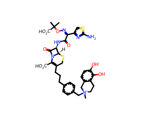 CC(C)(O/N=C(\C(=O)N[C@@H]1C(=O)N2C(C(=O)O)=C(CCCc3ccc(C[N+]4(C)CCc5c(ccc(O)c5O)C4)cc3)CS[C@H]12)c1csc(N)n1)C(=O)O